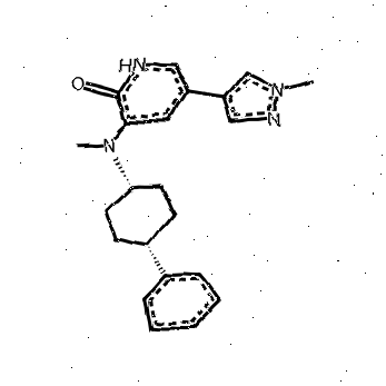 Cn1cc(-c2c[nH]c(=O)c(N(C)[C@H]3CC[C@@H](c4ccccc4)CC3)c2)cn1